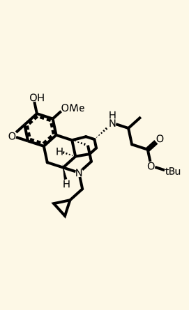 COc1c(O)c2c(c3c1[C@]14CCN(CC5CC5)[C@H](C3)[C@@H]1CC[C@@H](NC(C)CC(=O)OC(C)(C)C)C4)O2